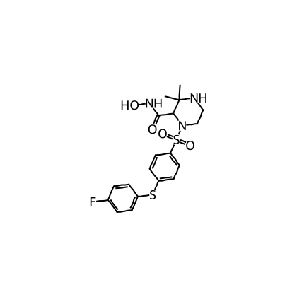 CC1(C)NCCN(S(=O)(=O)c2ccc(Sc3ccc(F)cc3)cc2)C1C(=O)NO